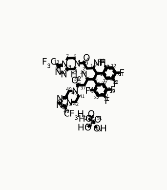 NC(CC(=O)N1CCn2c(nnc2C(F)(F)F)C1)C(c1cc(F)c(F)cc1F)C(c1cc(F)c(F)cc1F)C(N)CC(=O)N1CCn2c(nnc2C(F)(F)F)C1.O.O=P(O)(O)O